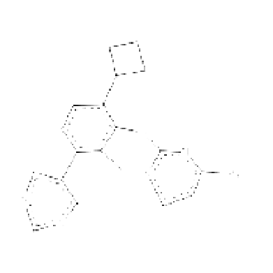 Nc1ccnc(Oc2c(C3CCC3)ccc(-c3cncnc3)c2F)n1